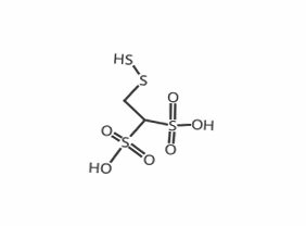 O=S(=O)(O)C(CSS)S(=O)(=O)O